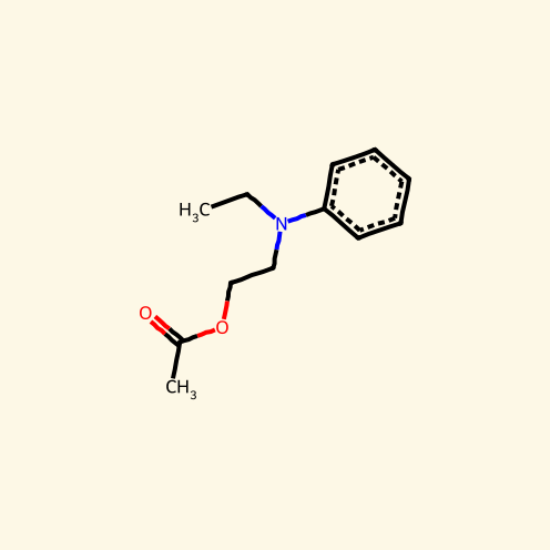 CCN(CCOC(C)=O)c1ccccc1